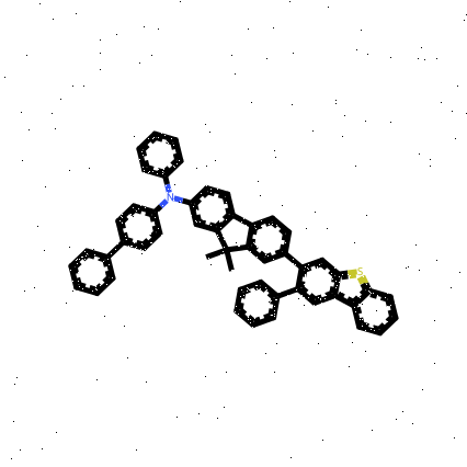 CC1(C)c2cc(-c3cc4sc5ccccc5c4cc3-c3ccccc3)ccc2-c2ccc(N(c3ccccc3)c3ccc(-c4ccccc4)cc3)cc21